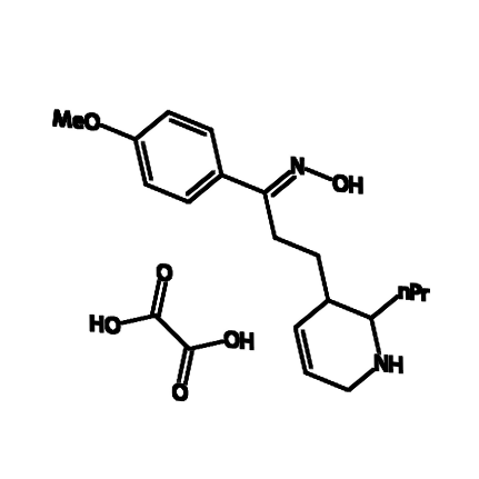 CCCC1NCC=CC1CCC(=NO)c1ccc(OC)cc1.O=C(O)C(=O)O